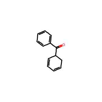 O=C(c1ccccc1)C1C=CC=CC1